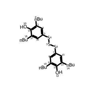 CCCCc1cc(SSSc2cc(CCCC)c(O)c(CCCC)c2)cc(CCCC)c1O